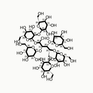 O=C[C@H](O[C@H]1O[C@H](CO)[C@@H](O)[C@H](O)[C@H]1O[C@H]1O[C@H](CO)[C@@H](O)[C@H](O)[C@H]1O)[C@@H](O[C@H]1O[C@H](CO)[C@@H](O)[C@H](O)[C@H]1O)[C@H](O[C@H]1O[C@H](CO)[C@@H](O)[C@H](O)[C@H]1O)[C@@H](CO[C@H]1O[C@H](CO)[C@@H](O)[C@H](O)[C@H]1O)O[C@H]1O[C@H](CO)[C@@H](O)[C@H](O)[C@H]1O